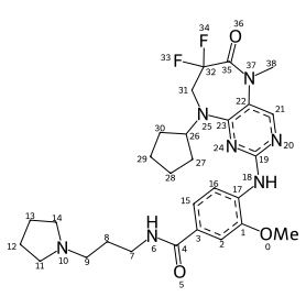 COc1cc(C(=O)NCCCN2CCCC2)ccc1Nc1ncc2c(n1)N(C1CCCC1)CC(F)(F)C(=O)N2C